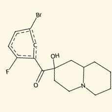 O=C(c1cc(Br)ccc1F)C1(O)CCN2CCCCC2C1